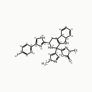 CCn1nc(C2(c3cnn(C)c3)N[C@@H](c3nc(-c4ccc(F)cn4)c[nH]3)CC3=C2NC2C=CC=CC32)oc1=O